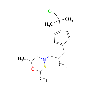 CC(Cc1ccc(C(C)(C)CCl)cc1)CN1CC(C)OC(C)S1